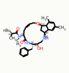 CCCC[C@H](C)C(=O)N(C)[C@H]1CC=CCO[C@H]2C[C@@H](NC[C@@H](O)[C@H](Cc3ccccc3)NC1=O)C1C=C(C)C=C(C)C12